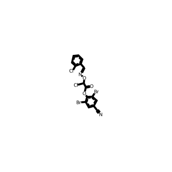 N#Cc1cc(Br)c(OC(=O)C(Cl)ON=Cc2ccccc2Cl)c(Br)c1